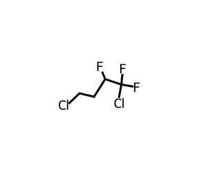 FC(CCCl)C(F)(F)Cl